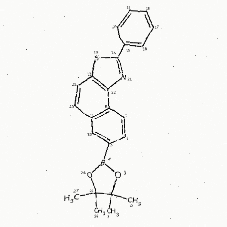 CC1(C)OB(c2ccc3c(ccc4sc(-c5ccccc5)nc43)c2)OC1(C)C